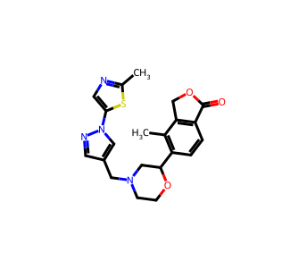 Cc1ncc(-n2cc(CN3CCOC(c4ccc5c(c4C)COC5=O)C3)cn2)s1